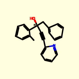 Cc1ccccc1[C@@](O)(C#Cc1ccccn1)Cc1ccccc1